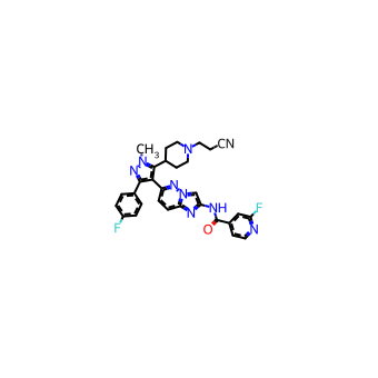 Cn1nc(-c2ccc(F)cc2)c(-c2ccc3nc(NC(=O)c4ccnc(F)c4)cn3n2)c1C1CCN(CCC#N)CC1